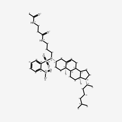 CC(=O)NCCC(=O)NCCCN([C@H]1CC[C@@]2(C)C(=CCC3C2CC[C@@]2(C)C3CC[C@@H]2C(C)CCCC(C)C)C1)S(=O)(=O)c1ccccc1[N+](=O)[O-]